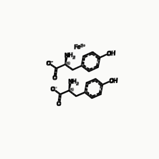 N[C@@H](Cc1ccc(O)cc1)C(=O)[O-].N[C@@H](Cc1ccc(O)cc1)C(=O)[O-].[Fe+2]